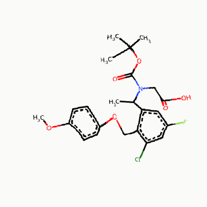 COc1ccc(OCc2c(Cl)cc(F)cc2C(C)N(CC(=O)O)C(=O)OC(C)(C)C)cc1